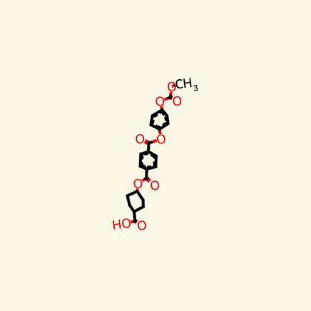 COC(=O)Oc1ccc(OC(=O)c2ccc(C(=O)OC3CCC(C(=O)O)CC3)cc2)cc1